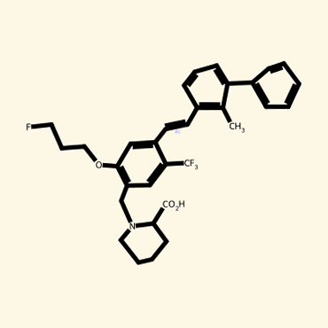 Cc1c(/C=C/c2cc(OCCCF)c(CN3CCCCC3C(=O)O)cc2C(F)(F)F)cccc1-c1ccccc1